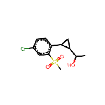 [CH2]C(O)C1CC1c1ccc(Cl)cc1S(C)(=O)=O